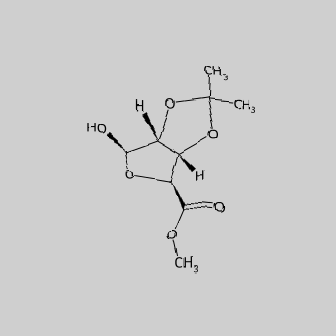 COC(=O)[C@H]1O[C@@H](O)[C@@H]2OC(C)(C)O[C@@H]21